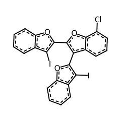 Clc1cccc2c(-c3oc4ccccc4c3I)c(-c3oc4ccccc4c3I)oc12